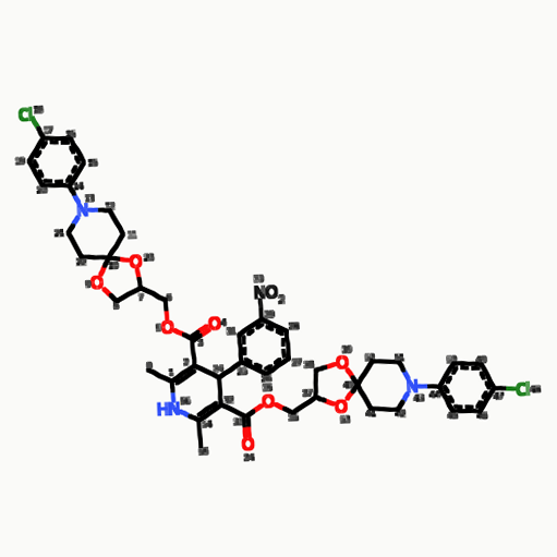 CC1=C(C(=O)OCC2COC3(CCN(c4ccc(Cl)cc4)CC3)O2)C(c2cccc([N+](=O)[O-])c2)C(C(=O)OCC2COC3(CCN(c4ccc(Cl)cc4)CC3)O2)=C(C)N1